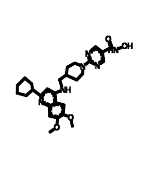 COc1cc2nc(C3CCCCC3)cc(NCC3CCN(c4ncc(C(=O)NO)cn4)CC3)c2cc1OC